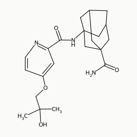 CC(C)(O)COc1ccnc(C(=O)NC23CC4CC(C2)CC(C(N)=O)(C4)C3)c1